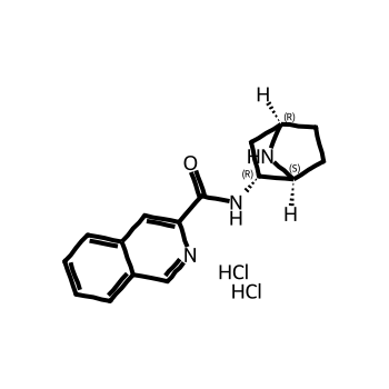 Cl.Cl.O=C(N[C@@H]1C[C@H]2CC[C@@H]1N2)c1cc2ccccc2cn1